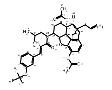 C=CCN1CC[C@]23c4c5ccc(OC(C)=O)c4OC2C(N(CC(C)C)C(=O)/C=C/c2cccc(OC(F)(F)F)c2)CC[C@@]3(OC(C)=O)[C@H]1C5